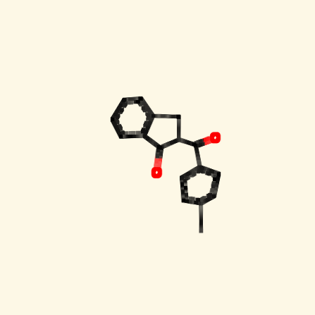 Cc1ccc(C(=O)C2Cc3ccccc3C2=O)cc1